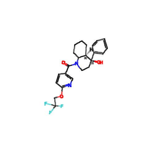 O=C(c1ccc(OCC(F)(F)F)nc1)N1CC[C@@](O)(c2ccccc2)[C@@H]2CCCCC21